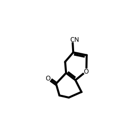 N#CC1=COC2=C(C1)C(=O)CCC2